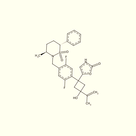 C=C(C)C1(O)CC(c2c[nH]c(=O)o2)(c2cc(F)c(CN3[C@@H](C)CC[C@H](c4ccccc4)S3(=O)=O)cc2F)C1